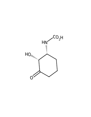 O=C(O)N[C@@H]1CCCC(=O)[C@@H]1O